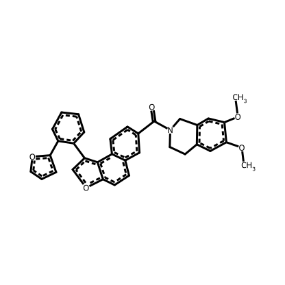 COc1cc2c(cc1OC)CN(C(=O)c1ccc3c(ccc4occ(-c5ccccc5-c5ccco5)c43)c1)CC2